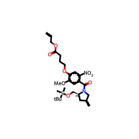 C=CCOC(=O)CCCOc1cc([N+](=O)[O-])c(C(=O)N2CC(=C)C[C@H]2CO[Si](C)(C)C(C)(C)C)cc1OC